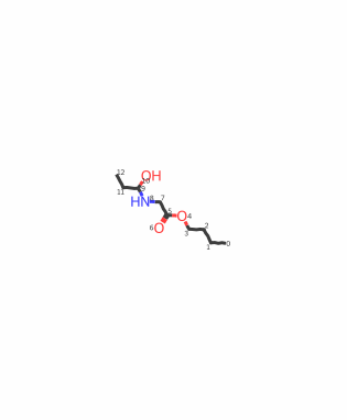 CCCCOC(=O)CNC(O)CC